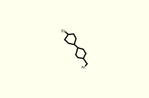 CCC1CCC(C2CCC(CC(C)=O)CC2)CC1